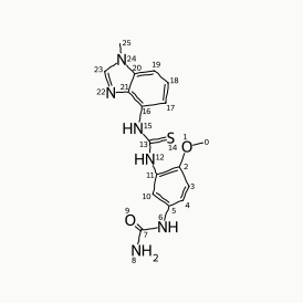 COc1ccc(NC(N)=O)cc1NC(=S)Nc1cccc2c1ncn2C